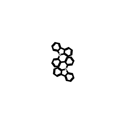 c1ccc(-n2c3ccccc3c3ccccc32)c(-c2ccccc2-n2c3ccccc3c3ccccc32)c1